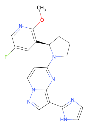 COc1ncc(F)cc1[C@H]1CCCN1c1ccn2ncc(-c3ncc[nH]3)c2n1